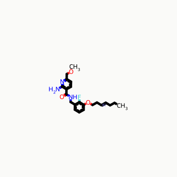 CCC/C=C/CCOc1cccc(CNC(=O)c2ccc(COC)nc2N)c1F